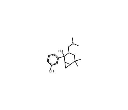 CN(C)CC1CC(C)(C)C2CC2C1(O)c1cccc(O)c1